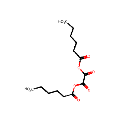 O=C(O)CCCCC(=O)OC(=O)C(=O)OC(=O)CCCCC(=O)O